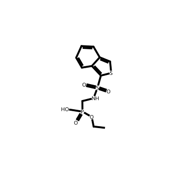 CCOP(=O)(O)CNS(=O)(=O)c1scc2ccccc12